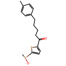 Cc1ccc(CCCCC(=O)c2ccc([S+](C)[O-])s2)cc1